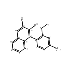 CCc1nc(N)ccc1-c1c(F)c(F)cc2cccnc12